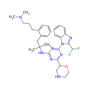 CN(C)CCCc1ccccc1CC(C)(C)Nc1nc(C2CNCCO2)nc(-n2c(C(F)F)nc3ccccc32)n1